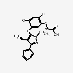 C=Cc1c(-c2ccccc2)nn(C)c1Oc1cc(O[C@@H](C)C(=O)O)c(Cl)cc1Cl